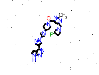 O=C(c1cc(CN2CC[C@@H](F)C2)nc(C(F)(F)F)n1)N1CCC(N2C[C](n3cc(-c4ncnc5[nH]ccc45)cn3)C2)CC1